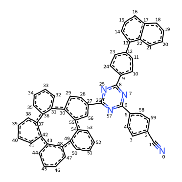 N#Cc1ccc(-c2nc(-c3ccc(-c4cccc5ccccc45)cc3)nc(-c3ccc4c5ccccc5c5ccccc5c5ccccc5c5ccccc5c4c3)n2)cc1